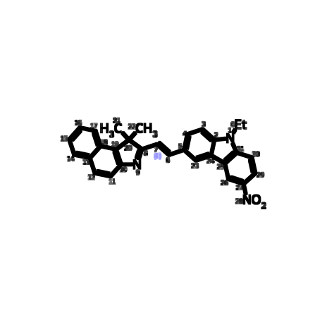 CCn1c2ccc(/C=C/C3=Nc4ccc5ccccc5c4C3(C)C)cc2c2cc([N+](=O)[O-])ccc21